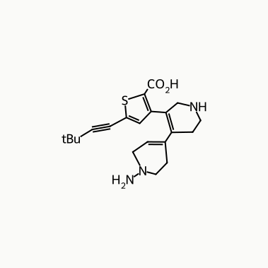 CC(C)(C)C#Cc1cc(C2=C(C3=CCN(N)CC3)CCNC2)c(C(=O)O)s1